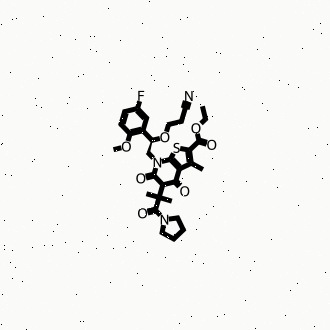 CCOC(=O)c1sc2c(c1C)C(=O)C(C(C)(C)C(=O)N1CCCC1)C(=O)N2C[C@H](OCCC#N)c1cc(F)ccc1OC